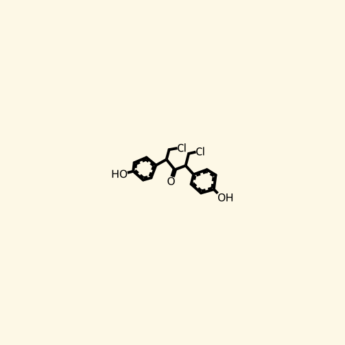 O=C(C(CCl)c1ccc(O)cc1)C(CCl)c1ccc(O)cc1